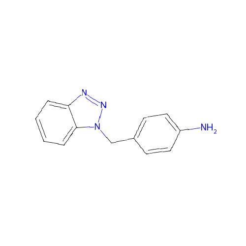 Nc1ccc(Cn2nnc3ccccc32)cc1